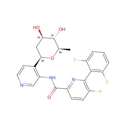 C[C@H]1O[C@@H](c2ccncc2NC(=O)c2ccc(F)c(-c3c(F)cccc3F)n2)C[C@@H](O)[C@@H]1O